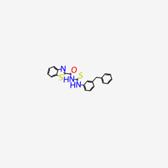 O=C(NC(=S)Nc1cccc(Cc2ccccc2)c1)c1nc2ccccc2s1